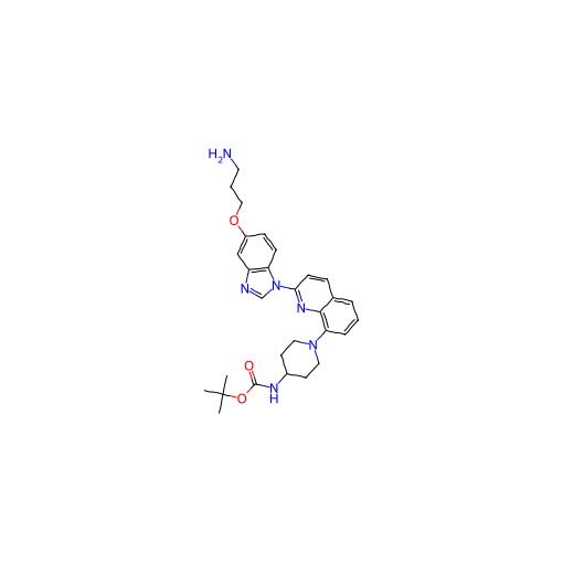 CC(C)(C)OC(=O)NC1CCN(c2cccc3ccc(-n4cnc5cc(OCCCN)ccc54)nc23)CC1